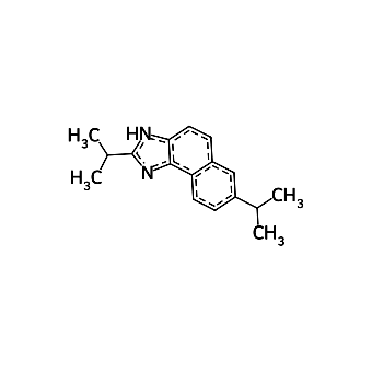 CC(C)c1ccc2c(ccc3[nH]c(C(C)C)nc32)c1